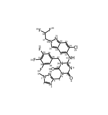 Cn1cnc(Cn2c(=O)nc(Nc3cc4cn(CC(F)F)nc4cc3Cl)n(Cc3cc(F)c(F)c(F)c3)c2=O)n1